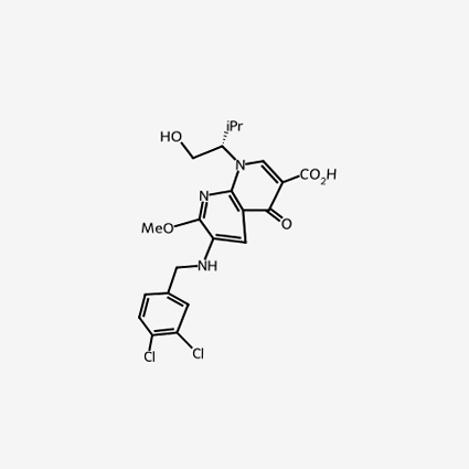 COc1nc2c(cc1NCc1ccc(Cl)c(Cl)c1)c(=O)c(C(=O)O)cn2[C@H](CO)C(C)C